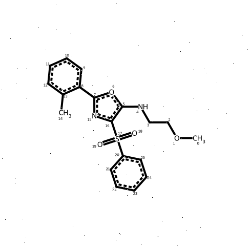 COCCNc1oc(-c2ccccc2C)nc1S(=O)(=O)c1ccccc1